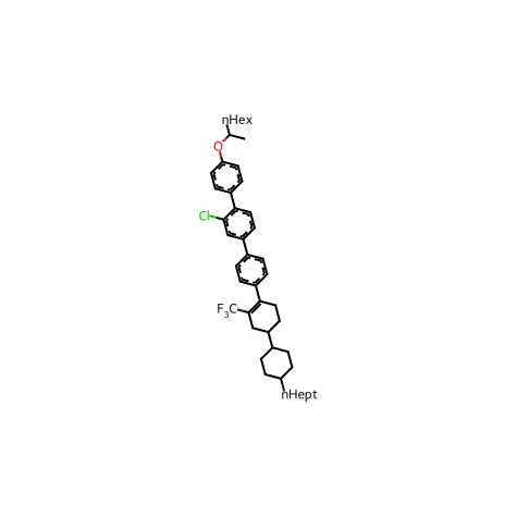 CCCCCCCC1CCC(C2CCC(c3ccc(-c4ccc(-c5ccc(OC(C)CCCCCC)cc5)c(Cl)c4)cc3)=C(C(F)(F)F)C2)CC1